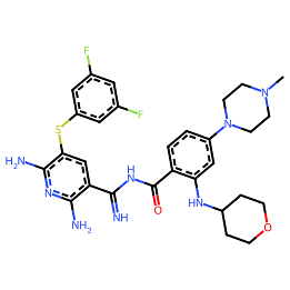 CN1CCN(c2ccc(C(=O)NC(=N)c3cc(Sc4cc(F)cc(F)c4)c(N)nc3N)c(NC3CCOCC3)c2)CC1